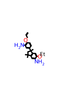 C=CCOc1ccc(C2(C)CC(C)(C)c3cc(N)c(OCC)cc32)cc1N